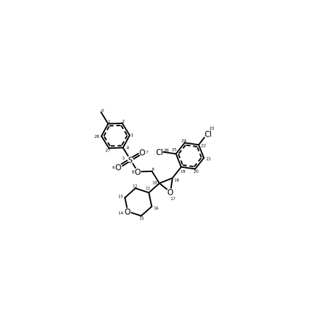 Cc1ccc(S(=O)(=O)OCC2(C3CCOCC3)OC2c2ccc(Cl)cc2Cl)cc1